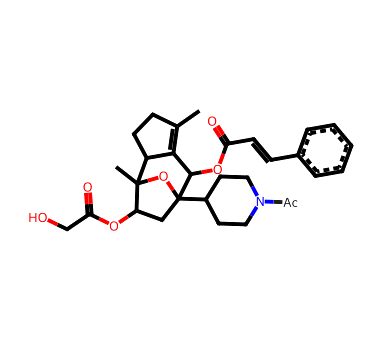 CC(=O)N1CCC(C23CC(OC(=O)CO)C(C)(O2)C2CCC(C)=C2C3OC(=O)/C=C/c2ccccc2)CC1